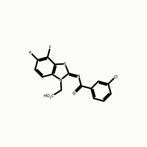 O=C(O)Cn1c(=NC(=O)c2cccc(Cl)c2)sc2c(F)c(F)ccc21